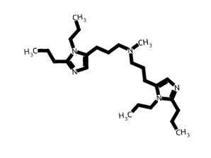 CCCc1ncc(CCCN(C)CCCc2cnc(CCC)n2CCC)n1CCC